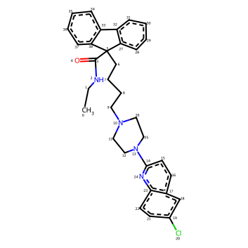 CCNC(=O)C1(CCCCN2CCN(c3ccc4cc(Cl)ccc4n3)CC2)c2ccccc2-c2ccccc21